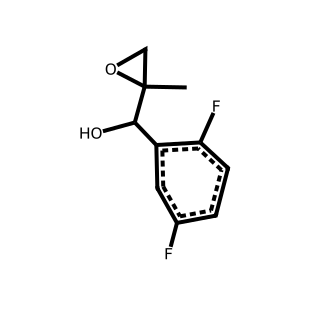 CC1(C(O)c2cc(F)ccc2F)CO1